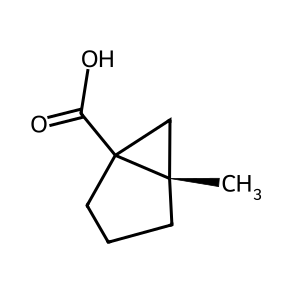 C[C@@]12CCCC1(C(=O)O)C2